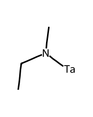 CC[N](C)[Ta]